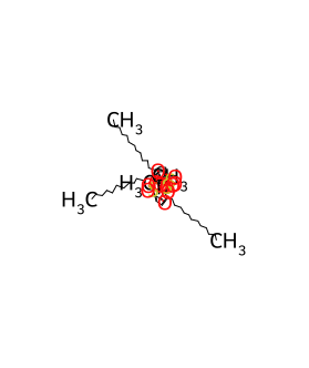 CCCCCCCCCCCCC1=CC=C2C(=O)C1[O][Ti]13(=[O])([CH](C)C)([O]S2(=O)=O)([CH]2C(=O)C(=CC=C2CCCCCCCCCCCC)[S]1(=O)=O)[CH]1C(=O)C(=CC=C1CCCCCCCCCCCC)[S]3(=O)=O